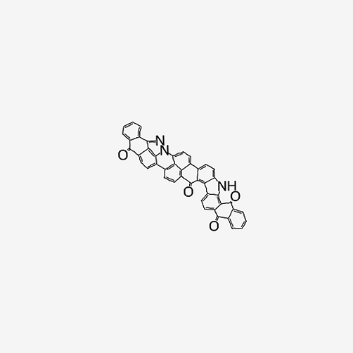 O=C1c2ccccc2C(=O)c2c1ccc1c2[nH]c2ccc3c4ccc5c6c(ccc(c(=O)c3c21)c46)c1ccc2c(=O)c3ccccc3c3nn5c1c23